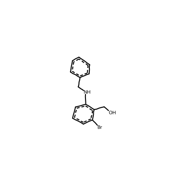 OCc1c(Br)cccc1NCc1ccccc1